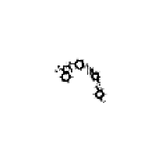 CN(C)c1nc(N[C@H]2CC[C@@H](CNCc3ccc(OCc4ccc(Br)cc4)cc3)CC2)nc2c1CCCC2